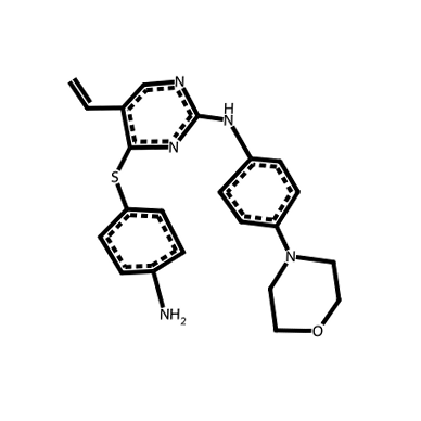 C=Cc1cnc(Nc2ccc(N3CCOCC3)cc2)nc1Sc1ccc(N)cc1